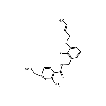 C/C=C/COc1cccc(CNC(=O)c2ccc(COC)nc2N)c1F